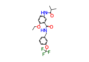 CCOc1ccc(NC(=O)C(C)C)cc1C(=O)NCc1cccc(OC(F)(F)F)c1